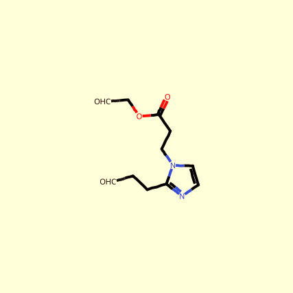 O=CCCc1nccn1CCC(=O)OCC=O